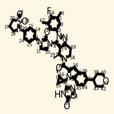 Cc1cc(-n2nc3c(c2-n2ccn(-c4ccc(N5CCCS5(=O)=O)cc4)c2=O)[C@H](C)N(C(=O)c2cc4cc(C5CCOCC5)ccc4n2[C@@]2(c4noc(=O)[nH]4)C[C@@H]2C)CC3)cc(C)c1F